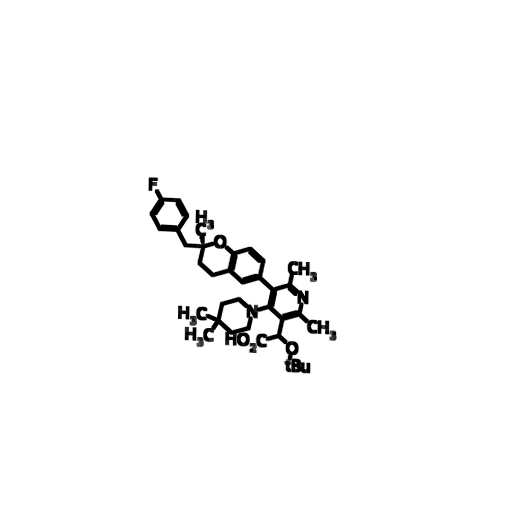 Cc1nc(C)c(C(OC(C)(C)C)C(=O)O)c(N2CCC(C)(C)CC2)c1-c1ccc2c(c1)CC[C@](C)(Cc1ccc(F)cc1)O2